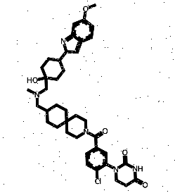 COc1ccc2c(c1)=NC(C1CCC(O)(CN(C)CC3CCC4(CC3)CCN(C(=O)c3ccc(Cl)c(N5CCC(=O)NC5=O)c3)CC4)CC1)C=2